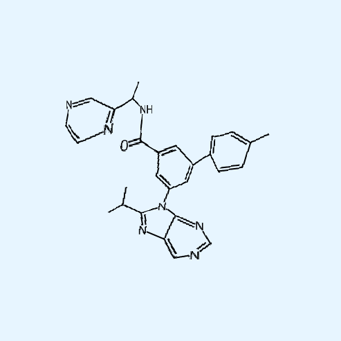 Cc1ccc(-c2cc(C(=O)NC(C)c3cnccn3)cc(-n3c(C(C)C)nc4cncnc43)c2)cc1